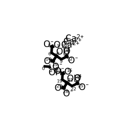 CCO.O=C([O-])CC(O)(CC(=O)[O-])C(=O)[O-].O=C([O-])CC(O)(CC(=O)[O-])C(=O)[O-].[Ca+2].[Ca+2].[Ca+2]